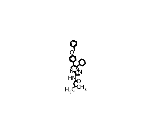 CC(C)CC(=O)Nc1cnn2c(C3CCCCC3)c(-c3ccc(OCc4ccccc4)cc3)cnc12